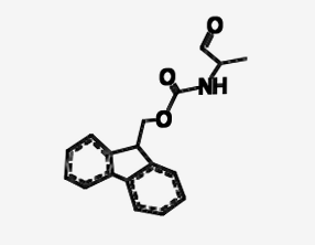 CC(C=O)NC(=O)OCC1c2ccccc2-c2ccccc21